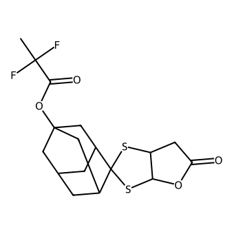 CC(F)(F)C(=O)OC12CC3CC(C1)C1(SC4CC(=O)OC4S1)C(C3)C2